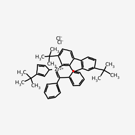 CC(C)(C)C1=C[CH]([Zr+2](=[C](c2ccccc2)c2ccccc2)[c]2c(C(C)(C)C)ccc3c2Cc2cc(C(C)(C)C)ccc2-3)C=C1.[Cl-].[Cl-]